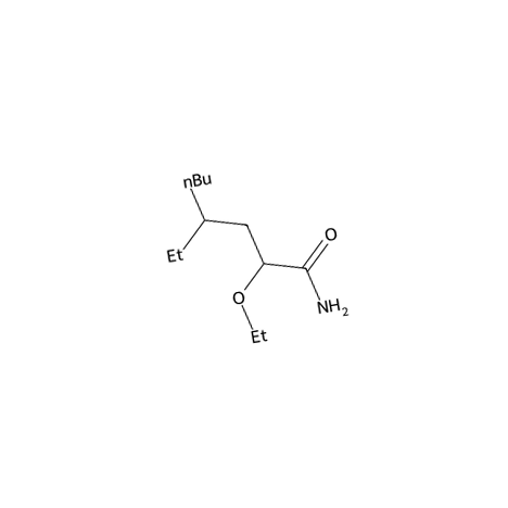 CCCCC(CC)CC(OCC)C(N)=O